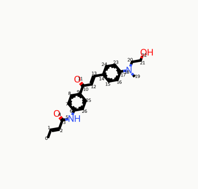 C/C=C/C(=O)Nc1ccc(C(=O)/C=C/c2ccc(N(C)CCO)cc2)cc1